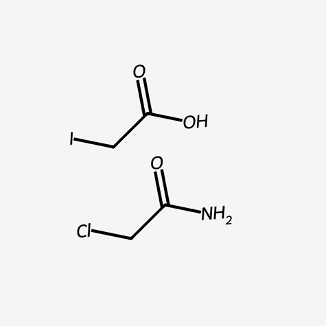 NC(=O)CCl.O=C(O)CI